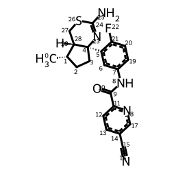 C[C@H]1CC[C@]2(c3cc(NC(=O)c4ccc(C#N)cn4)ccc3F)N=C(N)SC[C@@H]12